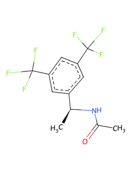 CC(=O)N[C@@H](C)c1cc(C(F)(F)F)cc(C(F)(F)F)c1